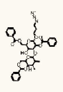 CC1[C@H](O[C@@H]2C(OC(=O)c3ccccc3)[C@H](OCCCN=[N+]=[N-])OC(COC(=O)c3ccccc3)[C@@H]2O)OC2COC(c3ccccc3)O[C@H]2[C@@H]1C